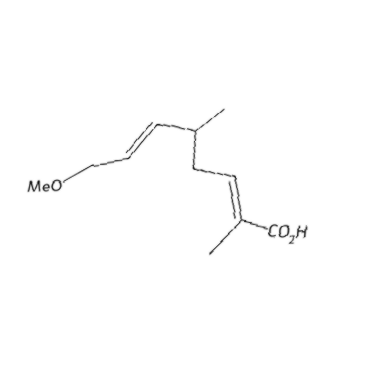 COCC=CC(C)CC=C(C)C(=O)O